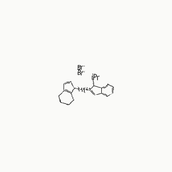 CC(C)C1[C]([Hf+2][CH]2C=CC3=C2CCCC3)=Cc2ccccc21.[Br-].[Br-]